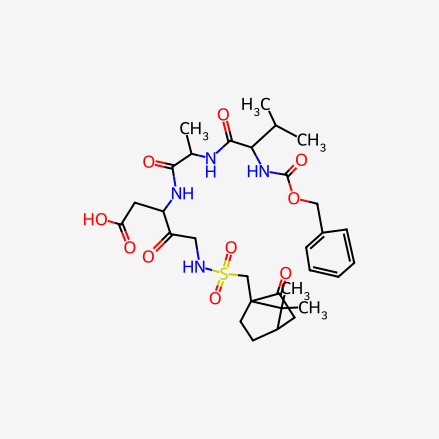 CC(NC(=O)C(NC(=O)OCc1ccccc1)C(C)C)C(=O)NC(CC(=O)O)C(=O)CNS(=O)(=O)CC12CCC(CC1=O)C2(C)C